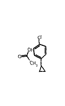 CC(=O)O.Clc1ccc(C2CC2)cc1